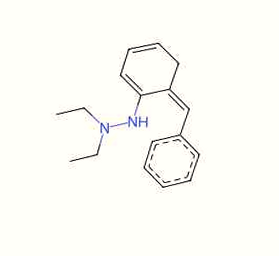 CCN(CC)NC1=CC=CCC1=Cc1ccccc1